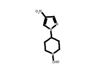 O=CN1CCC(n2cc([N+](=O)[O-])cn2)CC1